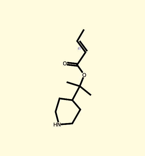 C/C=C/C(=O)OC(C)(C)C1CCNCC1